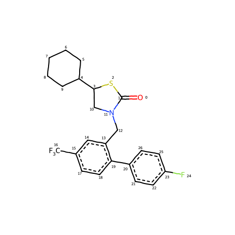 O=C1SC(C2CCCCC2)CN1Cc1cc(C(F)(F)F)ccc1-c1ccc(F)cc1